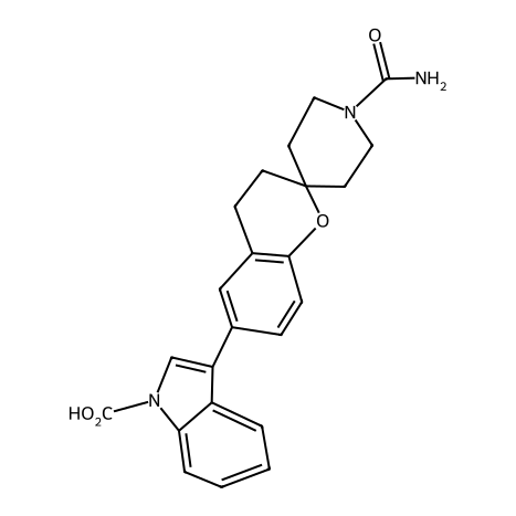 NC(=O)N1CCC2(CCc3cc(-c4cn(C(=O)O)c5ccccc45)ccc3O2)CC1